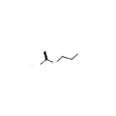 CCCCCCOC(=O)OC